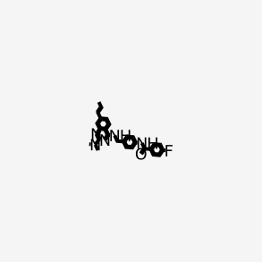 C/C=C/c1ccc2c(NCc3ccc(NC(=O)c4ccc(F)cc4)cc3)nc(N(C)C)nc2c1